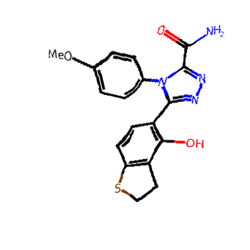 COc1ccc(-n2c(C(N)=O)nnc2-c2ccc3c(c2O)CCS3)cc1